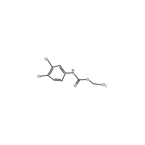 [CH2]COC(=O)Nc1ccc(Cl)c(Cl)c1